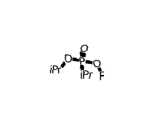 CC(C)OP(=O)(OF)C(C)C